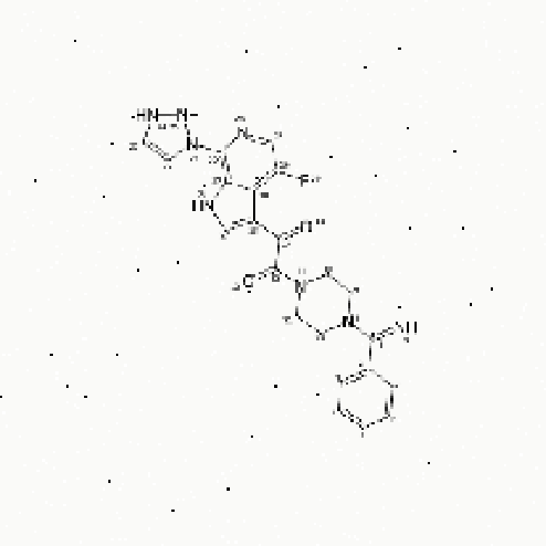 N=C(c1ccccc1)N1CCN(C(=O)C(=O)c2c[nH]c3c(N4C=CNN4)ncc(F)c23)CC1